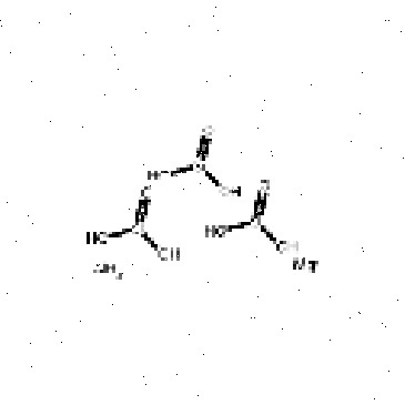 O=[Si](O)O.O=[Si](O)O.O=[Si](O)O.[AlH3].[Mg]